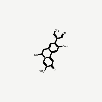 CCOC(=O)c1cn2c(cc1=O)-c1cc(OC)c(/C(C=N)=C/N)cc1CC2C(C)(C)C